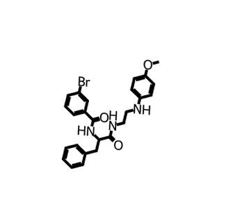 COc1ccc(NCCNC(=O)C(Cc2ccccc2)NC(=O)c2cccc(Br)c2)cc1